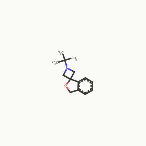 CC(C)(C)N1CC2(C1)OCc1ccccc12